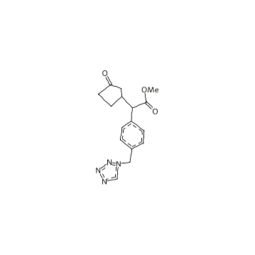 COC(=O)C(c1ccc(Cn2cnnn2)cc1)C1CCC(=O)C1